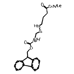 COC(=O)CCCNSCNC(=O)OCC1c2ccccc2-c2ccccc21